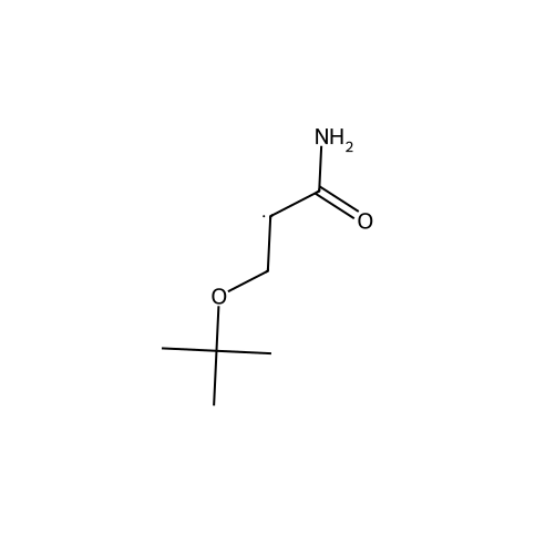 CC(C)(C)OC[CH]C(N)=O